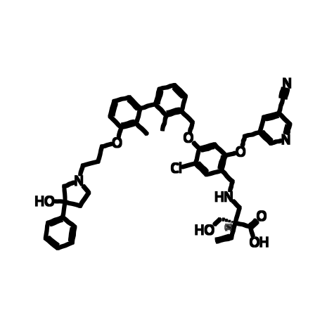 C=C[C@@](CO)(CNCc1cc(Cl)c(OCc2cccc(-c3cccc(OCCCN4CCC(O)(c5ccccc5)C4)c3C)c2C)cc1OCc1cncc(C#N)c1)C(=O)O